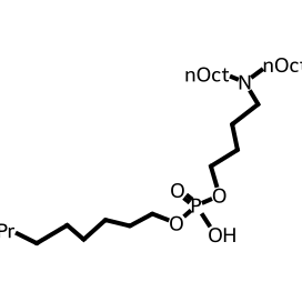 CCCCCCCCN(CCCCCCCC)CCCCOP(=O)(O)OCCCCCCC(C)C